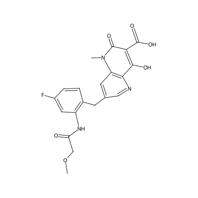 COCC(=O)Nc1cc(F)ccc1Cc1cnc2c(O)c(C(=O)O)c(=O)n(C)c2c1